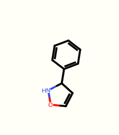 C1=CC(c2ccccc2)NO1